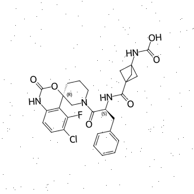 O=C(O)NC12CC(C(=O)N[C@@H](Cc3ccccc3)C(=O)N3CCC[C@@]4(C3)OC(=O)Nc3ccc(Cl)c(F)c34)(C1)C2